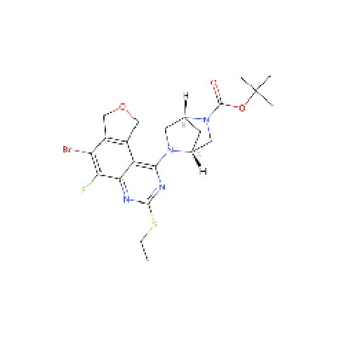 CCSc1nc(N2C[C@H]3C[C@@H]2CN3C(=O)OC(C)(C)C)c2c3c(c(Br)c(F)c2n1)COC3